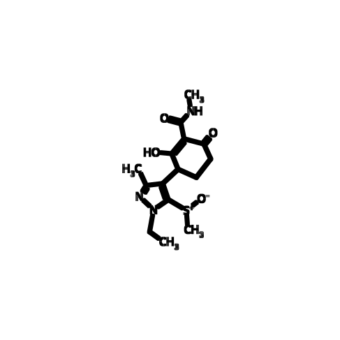 CCn1nc(C)c(C2CCC(=O)C(C(=O)NC)=C2O)c1[S+](C)[O-]